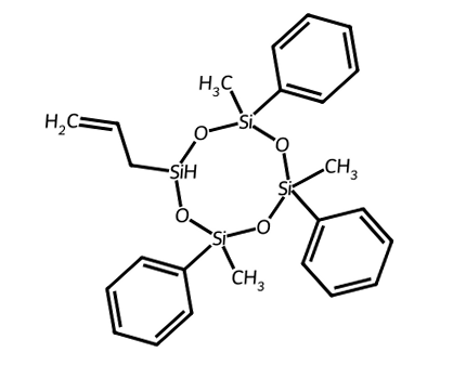 C=CC[SiH]1O[Si](C)(c2ccccc2)O[Si](C)(c2ccccc2)O[Si](C)(c2ccccc2)O1